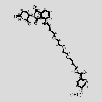 O=CNc1ccc(C(=O)NCCCOCCOCCOCCCNc2cccc3c2C(=O)N(C2CCC(=O)NC2=O)C3=O)nc1